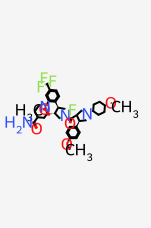 COC[C@H]1CN(C(=O)[C@]2(F)CN([C@H]3CC[C@H](OC)CC3)C[C@H]2c2ccc(OC)cc2)C[C@@H]1c1ccc(C(F)(F)F)cc1N1CCC(C(N)=O)CC1